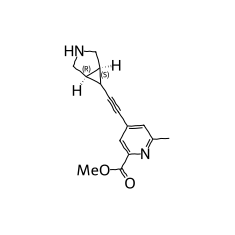 COC(=O)c1cc(C#CC2[C@H]3CNC[C@@H]23)cc(C)n1